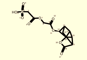 O=C(CS(=O)(=O)O)OCC(=O)O[C@H]1C2CC3C(=O)OC14C3C24